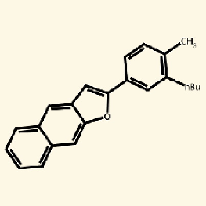 CCCCc1cc(-c2cc3cc4ccccc4cc3o2)ccc1C